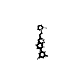 C[C@@H]1CCCN1CCc1cc2ccc(-c3cc(F)cc(F)c3)cc2nn1